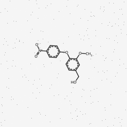 COc1cc(CO)ccc1Oc1ccc([N+](=O)[O-])cc1